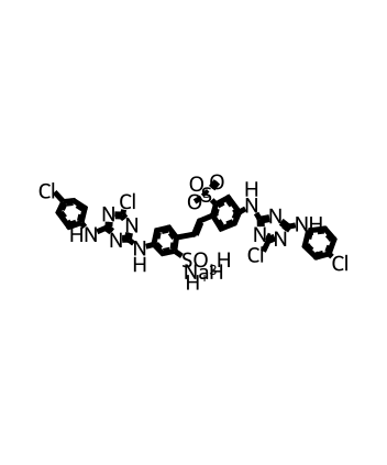 O=S(=O)([O-])c1cc(Nc2nc(Cl)nc(Nc3ccc(Cl)cc3)n2)ccc1C=Cc1ccc(Nc2nc(Cl)nc(Nc3ccc(Cl)cc3)n2)cc1S(=O)(=O)O.[H+].[NaH]